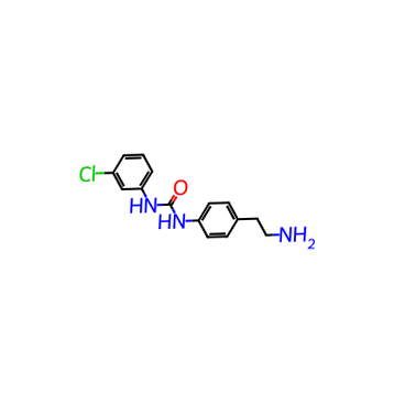 NCCc1ccc(NC(=O)Nc2cccc(Cl)c2)cc1